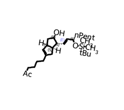 CCCCC[C@@H](/C=C/[C@@H]1[C@H]2CC(CCCCC(C)=O)=C[C@H]2C[C@H]1O)O[Si](C)(C)C(C)(C)C